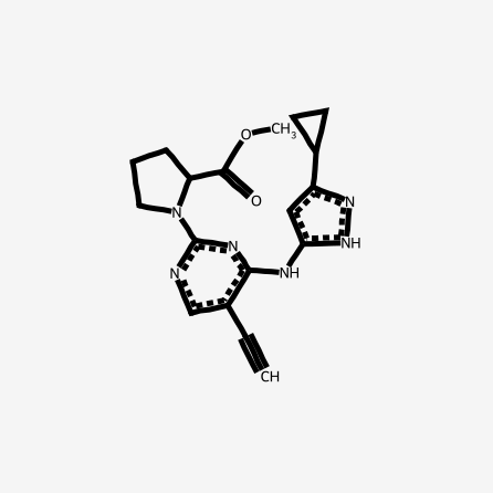 C#Cc1cnc(N2CCCC2C(=O)OC)nc1Nc1cc(C2CC2)n[nH]1